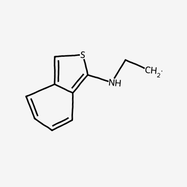 [CH2]CNc1scc2ccccc12